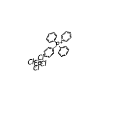 [Cl][Fe-]([Cl])([Cl])[Cl].c1ccc([P+](c2ccccc2)(c2ccccc2)c2ccccc2)cc1